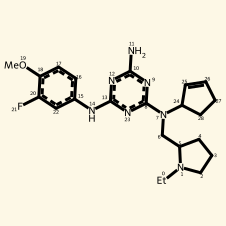 CCN1CCCC1CN(c1nc(N)nc(Nc2ccc(OC)c(F)c2)n1)C1C=CCC1